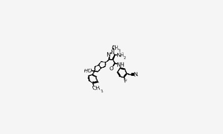 Cc1ccc(C2(O)CC3CC(c4nn(C)c(N)c4C(=O)Nc4ccc(F)c(C#N)c4)CC3C2)cc1